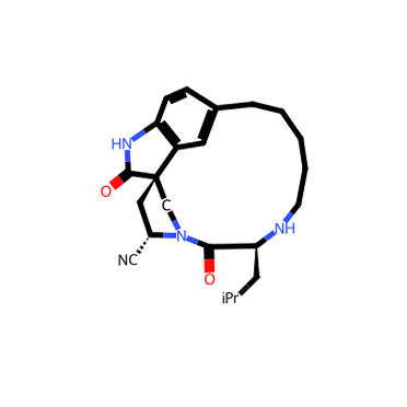 CC(C)C[C@@H]1NCCCCCc2ccc3c(c2)[C@@]2(C[C@@H](C#N)N(C2)C1=O)C(=O)N3